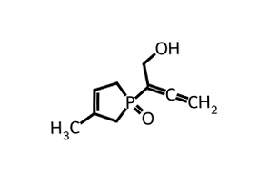 C=C=C(CO)P1(=O)CC=C(C)C1